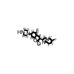 Cc1ccc2nc(-c3cc4c(F)cc(N5CCNCC5)cc4oc3=O)cn2c1